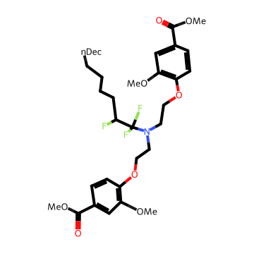 CCCCCCCCCCCCCCC(F)C(F)(F)N(CCOc1ccc(C(=O)OC)cc1OC)CCOc1ccc(C(=O)OC)cc1OC